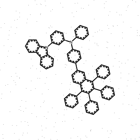 c1ccc(-c2c(-c3ccccc3)c(-c3ccccc3)c3cc(-c4ccc(N(c5ccccc5)c5cccc(-n6c7ccccc7c7ccccc76)c5)cc4)ccc3c2-c2ccccc2)cc1